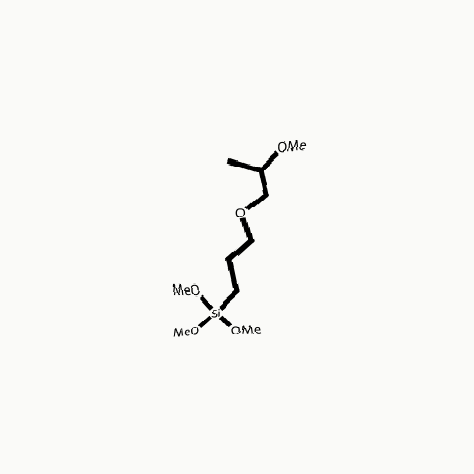 COC(C)COCCC[Si](OC)(OC)OC